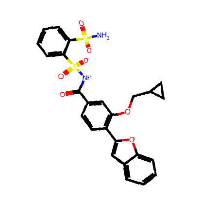 NS(=O)(=O)c1ccccc1S(=O)(=O)NC(=O)c1ccc(-c2cc3ccccc3o2)c(OCC2CC2)c1